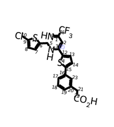 N=C(/C=C(\NCc1ccc(Cl)s1)c1ccc(-c2cccc(CC(=O)O)c2)s1)C(F)(F)F